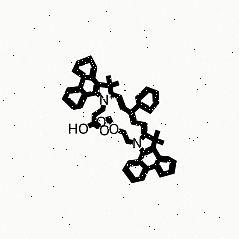 CC1(C)C(/C=C/C(=C/C=C2\N(CCOC=O)c3c(c4ccccc4c4ccccc34)C2(C)C)c2ccccc2)=[N+](CCC(=O)O)c2c1c1ccccc1c1ccccc21